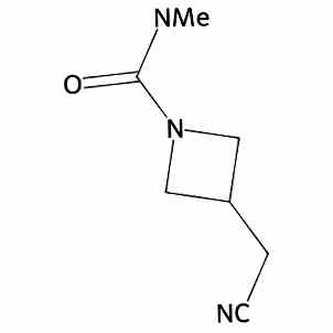 CNC(=O)N1CC(CC#N)C1